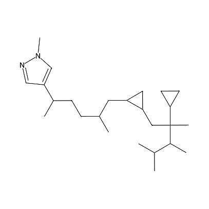 CC(CCC(C)c1cnn(C)c1)CC1CC1CC(C)(C1CC1)C(C)C(C)C